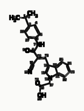 CC(C)c1ccc(NC(=O)/C(C#N)=C/c2cn(CC(=O)O)c3ccccc23)cc1